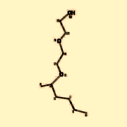 CCCCC(C)OCCOCCO